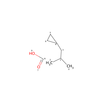 CC(C)CC1CC1.O=CO